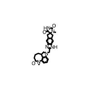 CN1C(=O)CCCC2CN(Cc3nc4cc5c(cc4[nH]3)CC3(C5)C(=O)NC(=O)N3C)c3cccc1c32